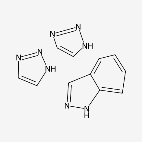 c1c[nH]nn1.c1c[nH]nn1.c1ccc2[nH]ncc2c1